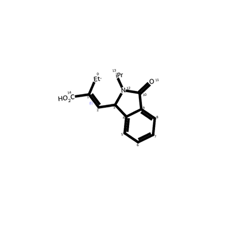 C[CH]/C(=C\C1c2ccccc2C(=O)N1C(C)C)C(=O)O